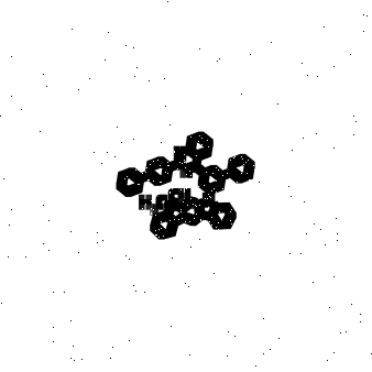 CC1(C)c2ccccc2-c2cc3c4ccccc4n(-c4cc(-c5ccccc5)cc(-c5nc(-c6ccc(-c7ccccc7)cc6)nc6ccccc56)c4)c3cc21